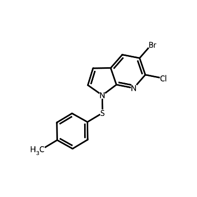 Cc1ccc(Sn2ccc3cc(Br)c(Cl)nc32)cc1